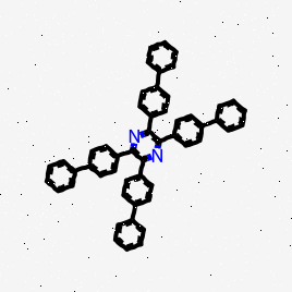 c1ccc(-c2ccc(-c3nc(-c4ccc(-c5ccccc5)cc4)c(-c4ccc(-c5ccccc5)cc4)nc3-c3ccc(-c4ccccc4)cc3)cc2)cc1